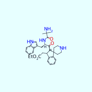 CCOC(=O)CC1c2ccccc2C2(CCNCC2)[C@@H]1C(=O)[C@@H](Cc1c[nH]c2ccccc12)NC(=O)C(C)(C)N